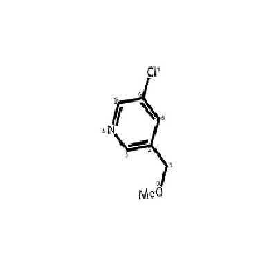 COCc1cn[c]c(Cl)c1